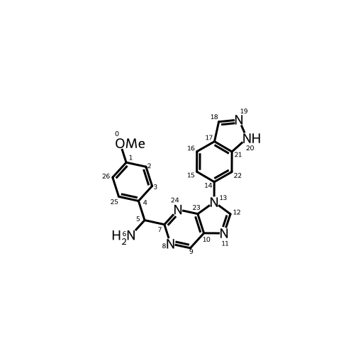 COc1ccc(C(N)c2ncc3ncn(-c4ccc5cn[nH]c5c4)c3n2)cc1